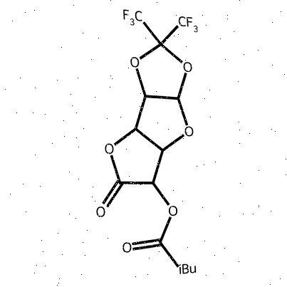 CCC(C)C(=O)OC1C(=O)OC2C3OC(C(F)(F)F)(C(F)(F)F)OC3OC12